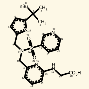 CCCCC(C)(C)c1ccc(CN(Cc2cccc(NCC(=O)O)n2)S(=O)(=O)c2cccnc2)s1